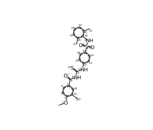 COc1ccc(C(=O)NC(=S)Nc2ccc(S(=O)(=O)Nc3c(C)cccc3C)cc2)cc1I